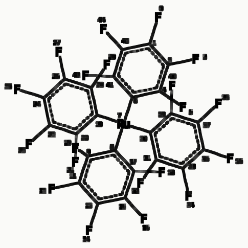 Fc1c(F)c(F)[c]([Ru]([c]2c(F)c(F)c(F)c(F)c2F)([c]2c(F)c(F)c(F)c(F)c2F)[c]2c(F)c(F)c(F)c(F)c2F)c(F)c1F